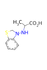 CC(NN1CSc2ccccc21)C(=O)O